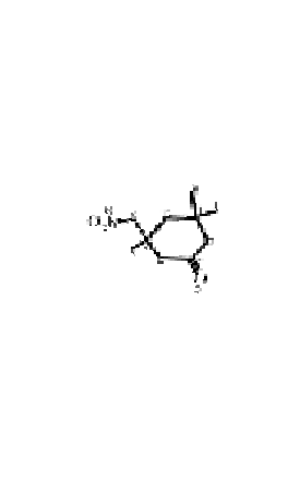 CC1(C)CC(=O)CC(C)(C[N+](=O)[O-])C1